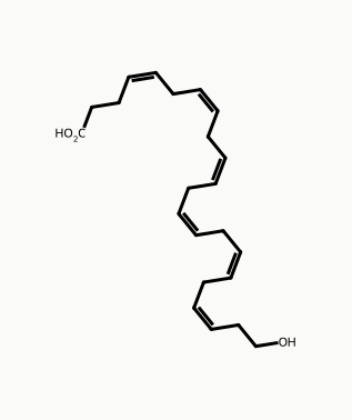 O=C(O)CC/C=C\C/C=C\C/C=C\C/C=C\C/C=C\C/C=C\CCO